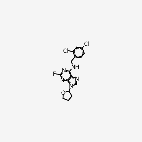 Fc1nc(NCc2ccc(Cl)cc2Cl)c2ncn(C3CCCO3)c2n1